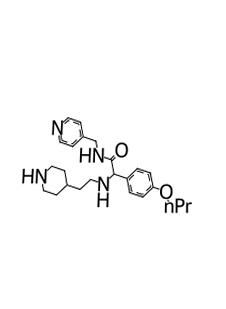 CCCOc1ccc(C(NCCC2CCNCC2)C(=O)NCc2ccncc2)cc1